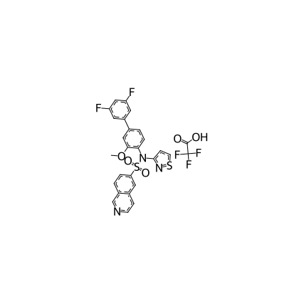 COc1cc(-c2cc(F)cc(F)c2)ccc1N(c1ccsn1)S(=O)(=O)c1ccc2cnccc2c1.O=C(O)C(F)(F)F